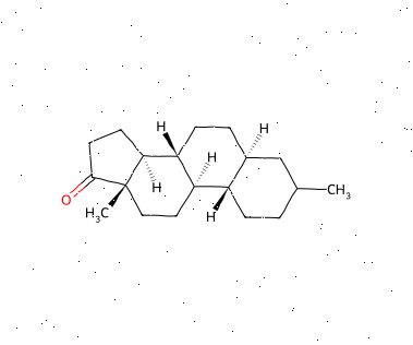 CC1CC[C@H]2[C@@H](CC[C@@H]3[C@@H]2CC[C@]2(C)C(=O)CC[C@@H]32)C1